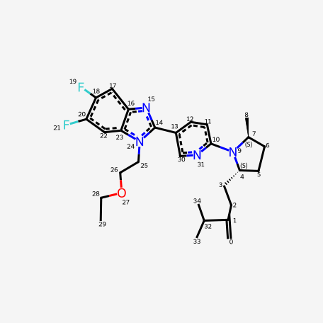 C=C(CC[C@H]1CC[C@H](C)N1c1ccc(-c2nc3cc(F)c(F)cc3n2CCOCC)cn1)C(C)C